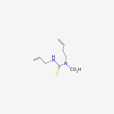 C=CCCN(C(=O)O)C(=S)NCC=C